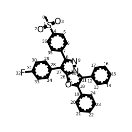 CS(=O)(=O)c1ccc(-c2nn3c(-c4ccccc4)c(-c4ccccc4)oc3c2-c2ccc(F)cc2)cc1